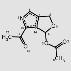 CC(=O)OC1OCc2cnc(C(C)=O)n21